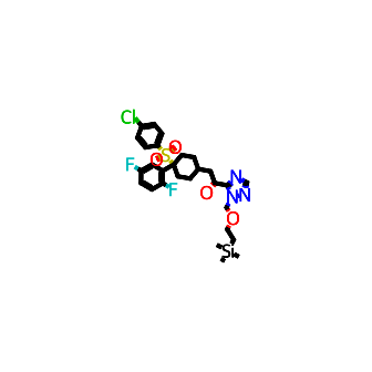 C[Si](C)(C)CCOCn1ncnc1C(=O)CC1CCC(c2cc(F)ccc2F)(S(=O)(=O)c2ccc(Cl)cc2)CC1